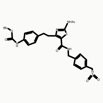 CC(=O)Nc1nc(CCc2ccc(NC(=O)OC(C)(C)C)cc2)c(C(=O)NCc2ccc(C[SH](=O)=O)cc2)s1